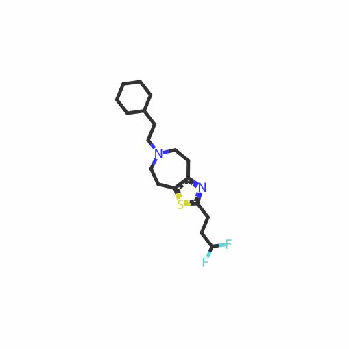 FC(F)CCc1nc2c(s1)CCN(CCC1CCCCC1)CC2